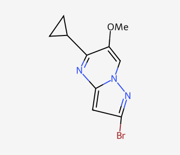 COc1cn2nc(Br)cc2nc1C1CC1